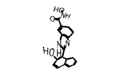 O=C(NO)c1ccc2nc(-c3c(O)ccc4ccccc34)[nH]c2c1